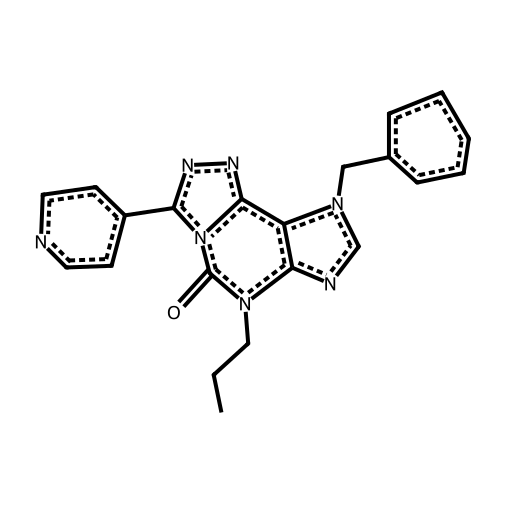 CCCn1c(=O)n2c(-c3ccncc3)nnc2c2c1ncn2Cc1ccccc1